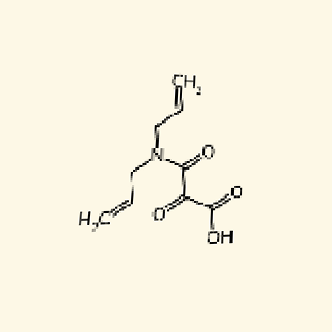 C=CCN(CC=C)C(=O)C(=O)C(=O)O